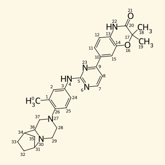 Cc1cc(Nc2nccc(-c3ccc4c(c3)OC(C)(C)C(=O)N4)n2)ccc1N1CCN2C3CCC(C3)C2C1